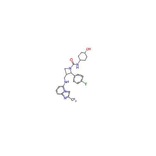 O=C(NC1CCC(O)CC1)N1CC(CNc2cccc3nc(C(F)(F)F)cn23)C1c1ccc(F)cc1